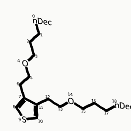 CCCCCCCCCCCCCOCCc1cscc1CCOCCCCCCCCCCCCC